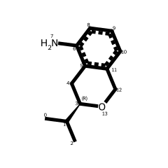 CC(C)[C@H]1Cc2c(N)cccc2CO1